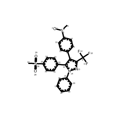 C[S+]([O-])c1ccc(-c2c(C(F)(F)F)nn(-c3ccccc3)c2-c2ccc(S(C)(=O)=O)cc2)cc1